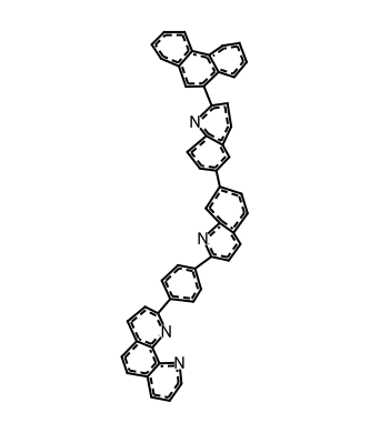 c1ccc2c(c1)cc(-c1ccc3cc(-c4ccc5ccc(-c6ccc(-c7ccc8ccc9cccnc9c8n7)cc6)nc5c4)ccc3n1)c1ccccc12